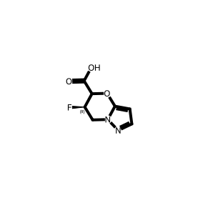 O=C(O)C1Oc2ccnn2C[C@H]1F